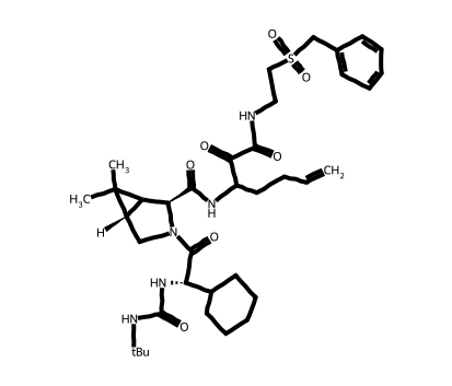 C=CCCC(NC(=O)[C@@H]1C2[C@H](CN1C(=O)[C@@H](NC(=O)NC(C)(C)C)C1CCCCC1)C2(C)C)C(=O)C(=O)NCCS(=O)(=O)Cc1ccccc1